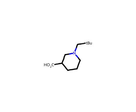 CC(C)(C)CN1CCCC(C(=O)O)C1